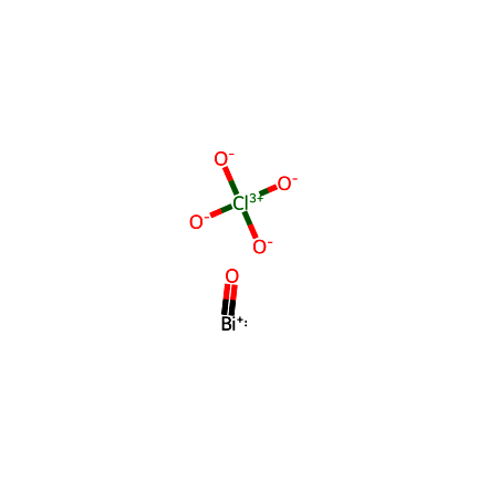 [O-][Cl+3]([O-])([O-])[O-].[O]=[Bi+]